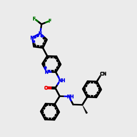 C[C@H](CNC(C(=O)Nc1ccc(-c2cnn(C(F)F)c2)cn1)c1ccccc1)c1ccc(C#N)cc1